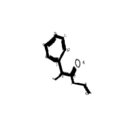 CCCC(=O)C(C)c1ccccc1